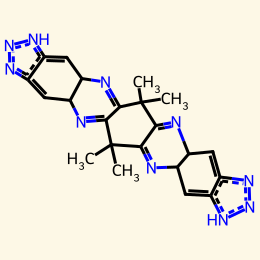 CC1(C)C2=NC3C=c4nn[nH]c4=CC3N=C2C(C)(C)C2=NC3C=c4nn[nH]c4=CC3N=C21